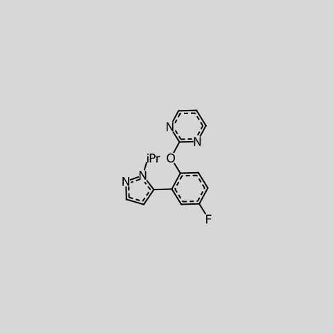 CC(C)n1nccc1-c1cc(F)ccc1Oc1ncccn1